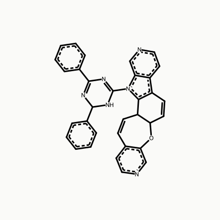 C1=CC2c3c(c4ccncc4n3C3=NC(c4ccccc4)=NC(c4ccccc4)N3)C=CC2Oc2cnccc21